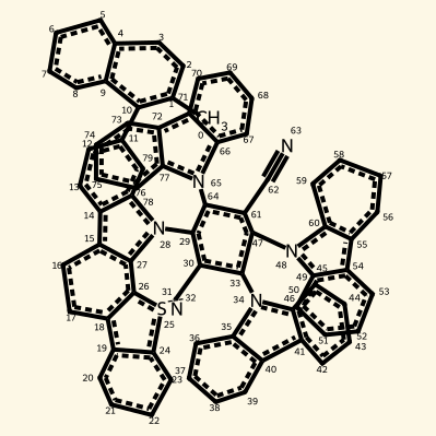 Cc1ccc2ccccc2c1-c1ccc2c3ccc4c5ccccc5sc4c3n(-c3c(C#N)c(-n4c5ccccc5c5ccccc54)c(-n4c5ccccc5c5ccccc54)c(C#N)c3-n3c4ccccc4c4ccccc43)c2c1